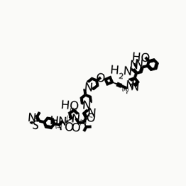 Cc1ncsc1C1C=CC([C@H](C)NC(=O)[C@@H]2C[C@@H](O)CN2C(=O)[C@@H](c2cc(N3CCC(CN4CCC(O[C@H]5C[C@H](C#C[C@@H](C)n6cc(-c7cc(-c8ccccc8O)nnc7N)cn6)C5)CC4)CC3)no2)C(C)C)=CC1